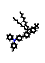 CCCCCCCCC1(CCCCCCCC)c2cc(-c3ccc(N(c4ccccc4)c4ccc(C)cc4)cc3)ccc2-c2ccc(C(C)(C)C)cc21